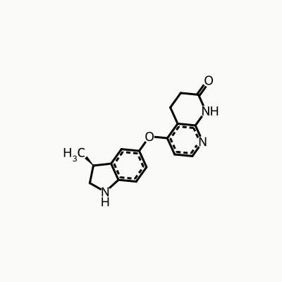 C[C@@H]1CNc2ccc(Oc3ccnc4c3CCC(=O)N4)cc21